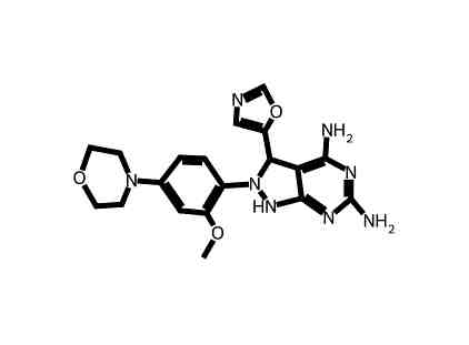 COc1cc(N2CCOCC2)ccc1N1Nc2nc(N)nc(N)c2C1c1cnco1